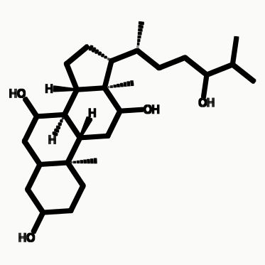 CC(C)C(O)CC[C@@H](C)[C@H]1CC[C@H]2[C@@H]3C(O)CC4CC(O)CC[C@]4(C)[C@H]3CC(O)[C@]12C